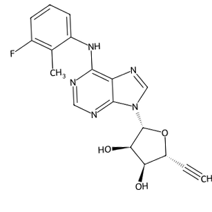 C#C[C@H]1O[C@@H](n2cnc3c(Nc4cccc(F)c4C)ncnc32)[C@H](O)[C@@H]1O